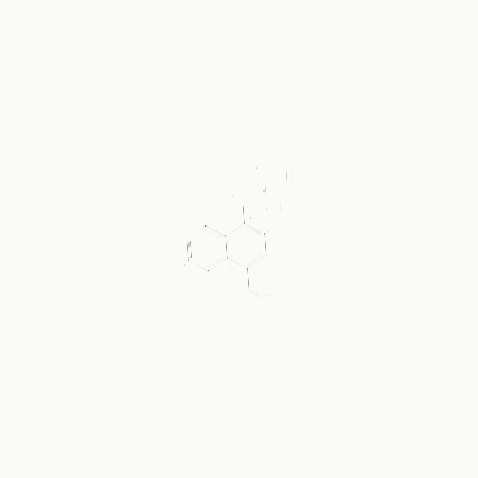 C=Cc1ccc(O[Si](C)(C)C)c2ccccc12